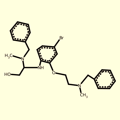 CN(CCOc1cc(Br)ccc1NC(CO)N(C)Cc1ccccc1)Cc1ccccc1